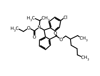 CCCCC(CC)COC(=O)c1ccccc1C(c1ccc(Cl)cc1)N(C(=O)OCC)C(C)C